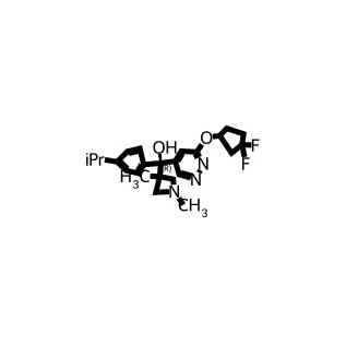 CC(C)c1ccc([C@](O)(c2cnnc(OC3CCC(F)(F)C3)c2)C2(C)CN(C)C2)cc1